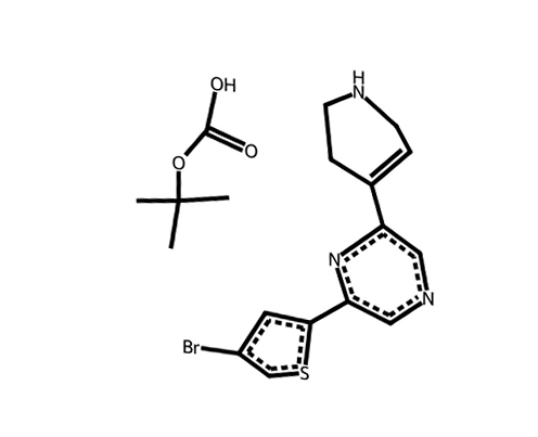 Brc1csc(-c2cncc(C3=CCNCC3)n2)c1.CC(C)(C)OC(=O)O